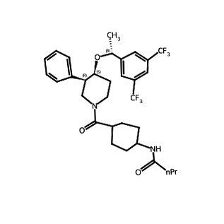 CCCC(=O)NC1CCC(C(=O)N2CC[C@H](O[C@H](C)c3cc(C(F)(F)F)cc(C(F)(F)F)c3)[C@H](c3ccccc3)C2)CC1